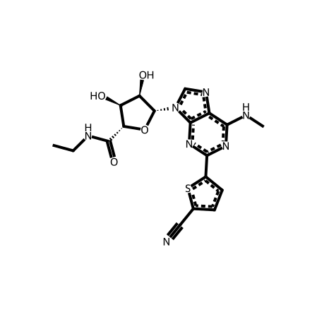 CCNC(=O)[C@H]1O[C@@H](n2cnc3c(NC)nc(-c4ccc(C#N)s4)nc32)[C@H](O)[C@@H]1O